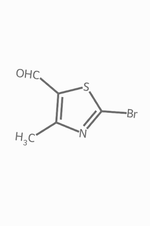 Cc1nc(Br)sc1C=O